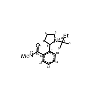 CCC(C)(C)N1CCCC1c1ccccc1C(=O)NC